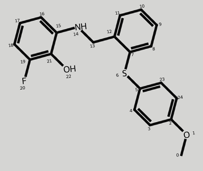 COc1ccc(Sc2ccccc2CNc2cccc(F)c2O)cc1